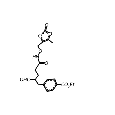 CCOC(=O)c1ccc(CC(C=O)CCC(=O)NOCc2oc(=O)oc2C)cc1